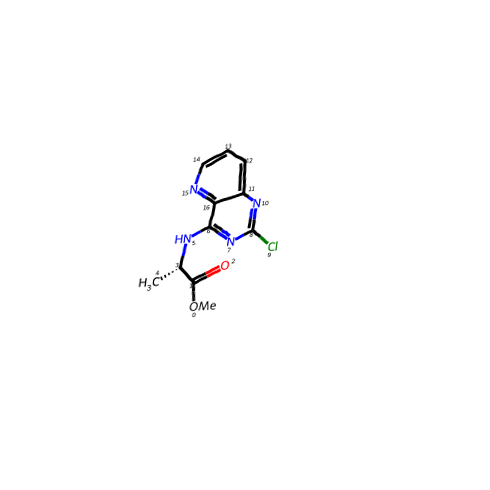 COC(=O)[C@H](C)Nc1nc(Cl)nc2cccnc12